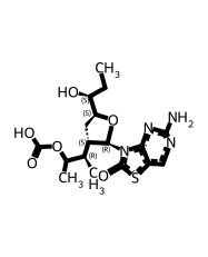 CC[C@H](O)[C@@H]1C[C@@H]([C@@H](C)C(C)OC(=O)O)[C@H](n2c(=O)sc3cnc(N)nc32)O1